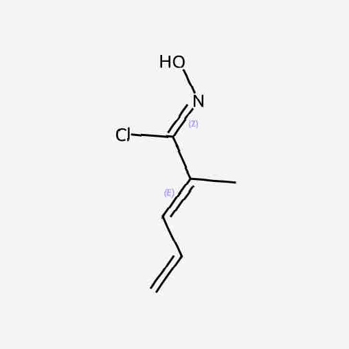 C=C/C=C(C)/C(Cl)=N/O